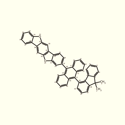 CC1(C)c2ccccc2-c2c(-c3c4ccccc4c(-c4ccc5c(c4)oc4cc6c(cc45)oc4ccccc46)c4ccccc34)cccc21